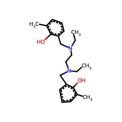 CCN(CCN(CC)Cc1cccc(C)c1O)Cc1cccc(C)c1O